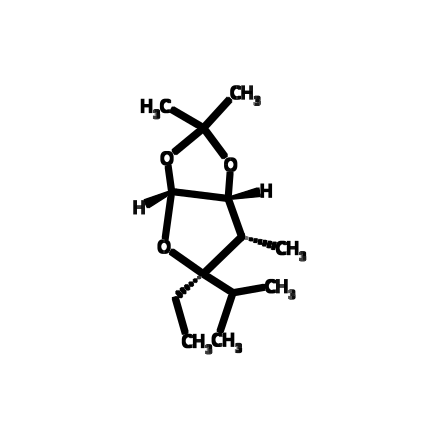 CC[C@]1(C(C)C)O[C@@H]2OC(C)(C)O[C@@H]2[C@@H]1C